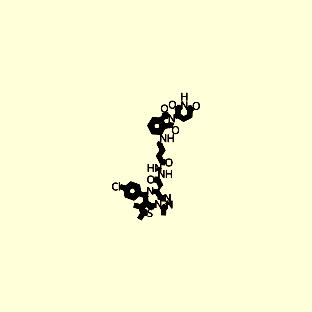 Cc1sc2c(c1C)C(c1ccc(Cl)cc1)=N[C@@H](CC(=O)NNC(=O)CCCNc1cccc3c1C(=O)N(C1CCC(=O)NC1=O)C3=O)c1nnc(C)n1-2